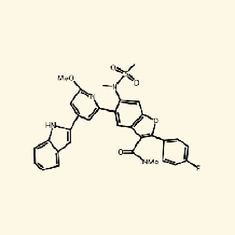 CNC(=O)c1c(-c2ccc(F)cc2)oc2cc(N(C)S(C)(=O)=O)c(-c3cc(-c4cc5ccccc5[nH]4)cc(OC)n3)cc12